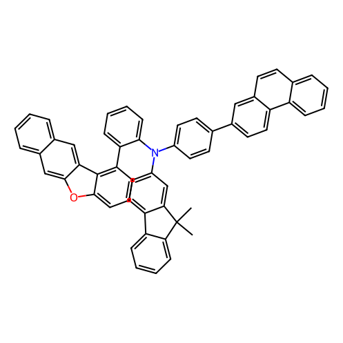 CC1(C)c2ccccc2-c2ccc(N(c3ccc(-c4ccc5c(ccc6ccccc65)c4)cc3)c3ccccc3-c3cccc4oc5cc6ccccc6cc5c34)cc21